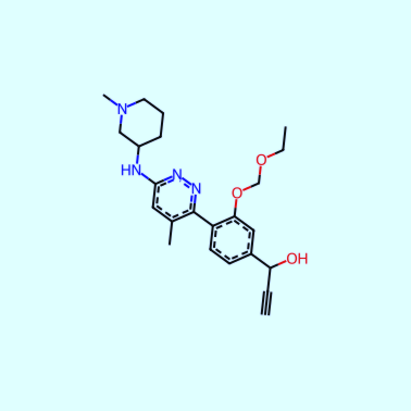 C#CC(O)c1ccc(-c2nnc(NC3CCCN(C)C3)cc2C)c(OCOCC)c1